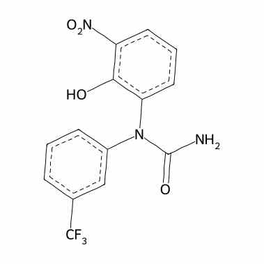 NC(=O)N(c1cccc(C(F)(F)F)c1)c1cccc([N+](=O)[O-])c1O